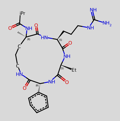 CC[C@@H]1NC(=O)[C@H](CCCNC(=N)N)NC(=O)[C@](C)(NC(=O)C(C)C)CCCNC(=O)[C@@H](c2ccccc2)NC1=O